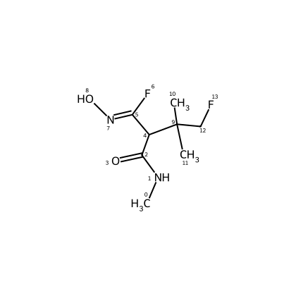 CNC(=O)C(/C(F)=N/O)C(C)(C)CF